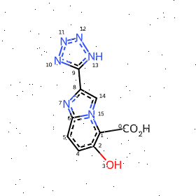 O=C(O)c1c(O)ccc2nc(-c3nnn[nH]3)cn12